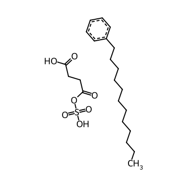 CCCCCCCCCCCCc1ccccc1.O=C(O)CCC(=O)OS(=O)(=O)O